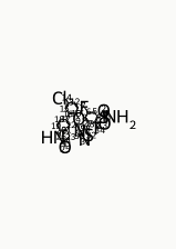 NS(=O)(=O)c1cc(F)c(Oc2ccc(Cl)cc2-c2ccc3c(c2)CC(=O)N3)c(-c2ncns2)c1F